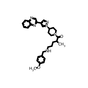 COc1ccc(CNCCCC(C)C(=O)N2CCC(n3cc(-c4cnc5ccccc5n4)cn3)CC2)cc1